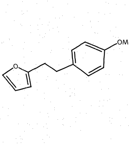 COc1ccc(CCc2ccco2)cc1